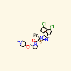 CC(C)C1=C(C(=O)N2CCC[C@H]2COC2CCN(C)CC2)SC2=N[C@@](C)(c3ccc(Cl)cc3)[C@@H](c3ccc(Cl)cc3)N21